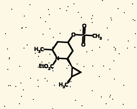 CCOC(=O)N1C(C)CC(OS(C)(=O)=O)CC1[C@H]1C[C@H]1C